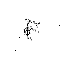 CCC12CC3CC(N)(C1)CC(CC(C)CO[N+](=O)[O-])(C3)C2